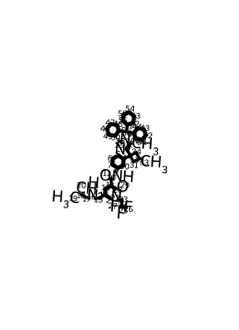 Cc1c(C2(c3cccc(NC(=O)c4cc(CNCC(C)C)cn(CC(F)(F)F)c4=O)c3)CC(C)C2)ncn1C(c1ccccc1)(c1ccccc1)c1ccccc1